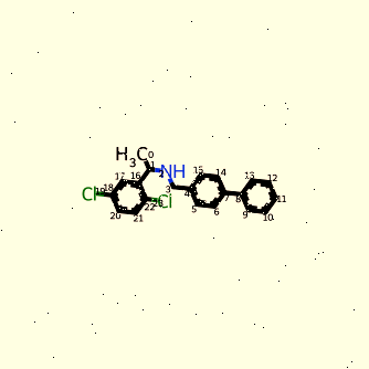 CC(NCc1ccc(-c2ccccc2)cc1)c1cc(Cl)ccc1Cl